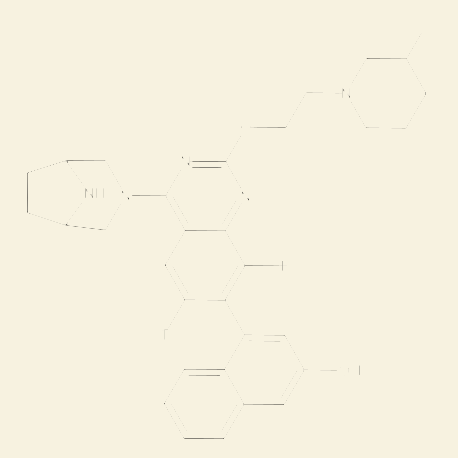 Oc1cc(-c2c(Cl)cc3c(N4CC5CCC(C4)N5)nc(OCCN4CCCC(F)C4)nc3c2F)c2ccccc2c1